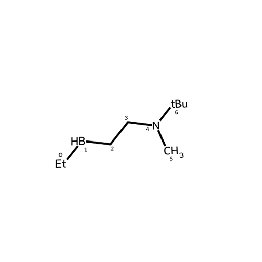 CCBCCN(C)C(C)(C)C